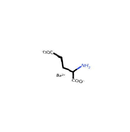 NC(CCC(=O)[O-])C(=O)[O-].[Ba+2]